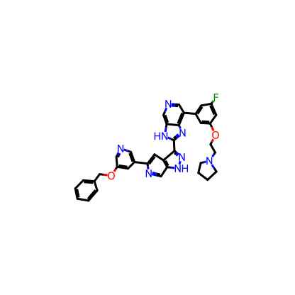 Fc1cc(OCCN2CCCC2)cc(-c2cncc3[nH]c(-c4n[nH]c5cnc(-c6cncc(OCc7ccccc7)c6)cc45)nc23)c1